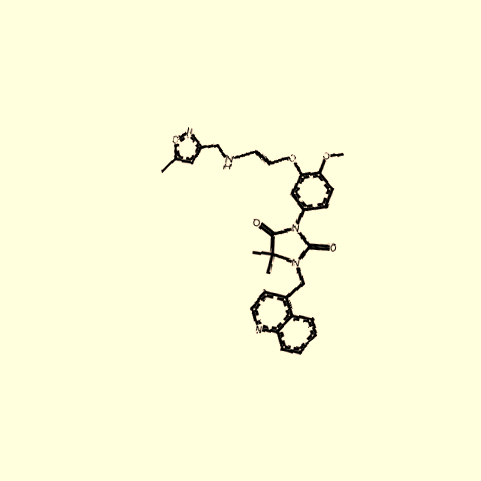 COc1ccc(N2C(=O)N(Cc3ccnc4ccccc34)C(C)(C)C2=O)cc1OCCNCc1cc(C)on1